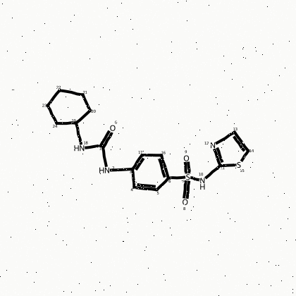 O=C(Nc1ccc(S(=O)(=O)Nc2nccs2)cc1)NC1CCCCC1